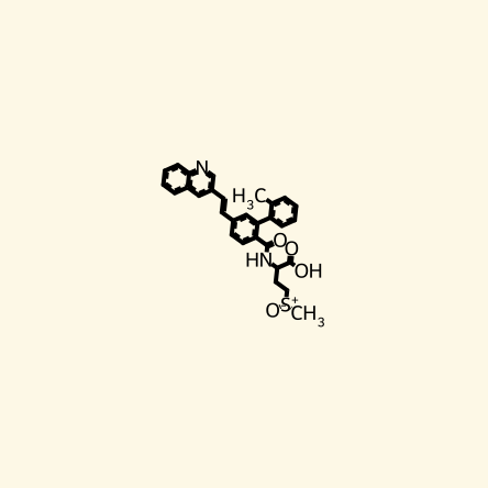 Cc1ccccc1-c1cc(C=Cc2cnc3ccccc3c2)ccc1C(=O)NC(CC[S+](C)[O-])C(=O)O